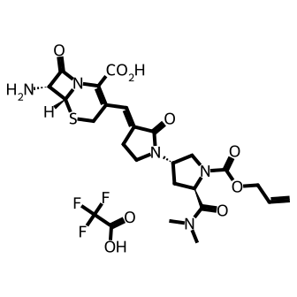 C=CCOC(=O)N1C[C@@H](N2CCC(=CC3=C(C(=O)O)N4C(=O)[C@@H](N)[C@H]4SC3)C2=O)C[C@@H]1C(=O)N(C)C.O=C(O)C(F)(F)F